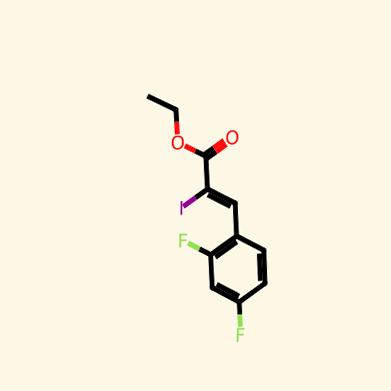 CCOC(=O)/C(I)=C/c1ccc(F)cc1F